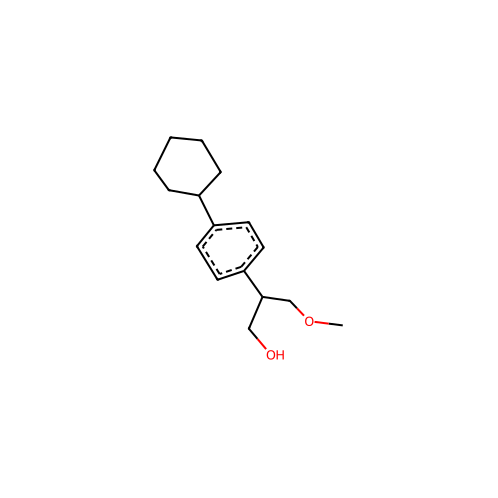 COCC(CO)c1ccc(C2CCCCC2)cc1